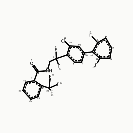 O=C(NCC(F)(F)c1ccc(-c2c(F)cccc2F)cc1Cl)c1ccccc1C(F)(F)F